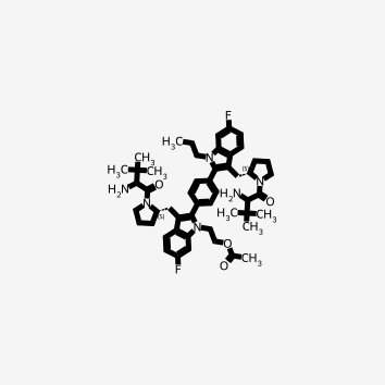 CCCn1c(-c2ccc(-c3c(C[C@@H]4CCCN4C(=O)C(N)C(C)(C)C)c4ccc(F)cc4n3CCOC(C)=O)cc2)c(C[C@@H]2CCCN2C(=O)C(N)C(C)(C)C)c2ccc(F)cc21